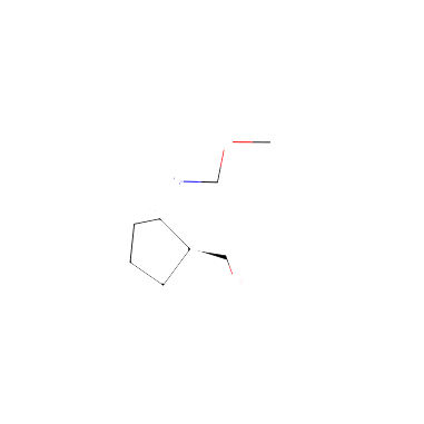 CC(C)(C)OCN[C@H]1CCC[C@@H]1CO